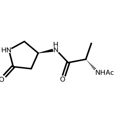 CC(=O)N[C@@H](C)C(=O)N[C@@H]1CNC(=O)C1